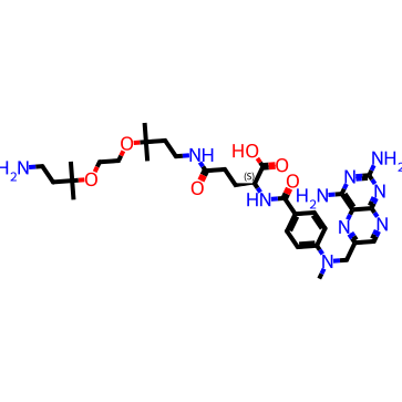 CN(Cc1cnc2nc(N)nc(N)c2n1)c1ccc(C(=O)N[C@@H](CCC(=O)NCCC(C)(C)OCCOC(C)(C)CCN)C(=O)O)cc1